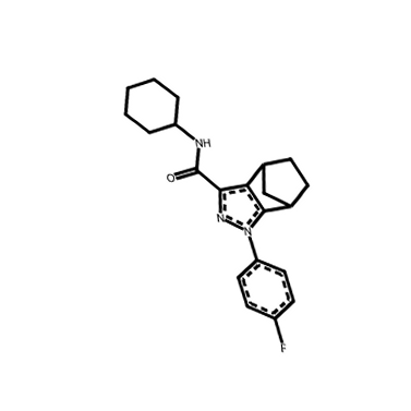 O=C(NC1CCCCC1)c1nn(-c2ccc(F)cc2)c2c1C1CCC2C1